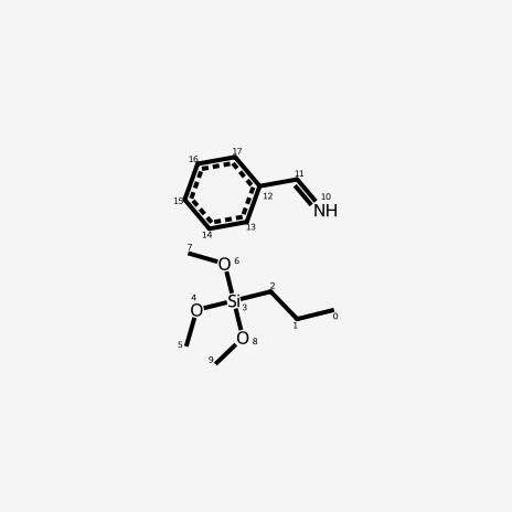 CCC[Si](OC)(OC)OC.N=Cc1ccccc1